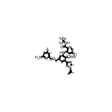 [2H]C([2H])([2H])NC(=O)c1nnc(Cl)cc1Nc1cc(COCc2cc(F)cc(N)n2)cc(-c2ncn(C3CC3)n2)c1OC